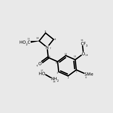 CSc1ccc(C(=O)N2CC[C@@H]2C(=O)O)cc1OC(F)(F)F.NO